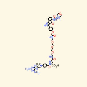 CN(Cc1cnc2nc(N)nc(N)c2n1)c1ccc(C(=O)NC(CCC(=O)NCCOCCOCCOCCNC(=O)COc2ccc(-c3[nH]nc4c3C(=O)c3c(NC(=O)NN5CCOCC5)cccc3-4)cc2)C(=O)O)cc1